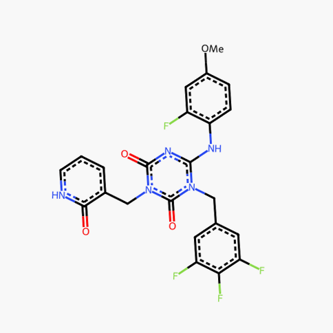 COc1ccc(Nc2nc(=O)n(Cc3ccc[nH]c3=O)c(=O)n2Cc2cc(F)c(F)c(F)c2)c(F)c1